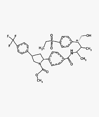 CCS(=O)(=O)c1ccc([C@H](CO)C(C)C(C)NC(=O)c2ccc(C3CC(c4ccc(C(F)(F)F)cc4)CN3C(=O)OC)cc2)cc1